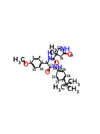 COc1ccc(C(NC(=O)C2(C)CNC(=O)C2)C(=O)Nc2ccc(C(C)(C)C)cc2)cc1